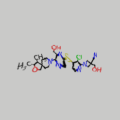 C[C@@H]1OCC2(CCN(c3ncc(Sc4ccnc(N5CC(C#N)(CO)C5)c4Cl)nc3CO)CC2)[C@@H]1C